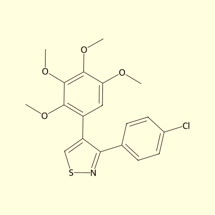 COc1cc(-c2csnc2-c2ccc(Cl)cc2)c(OC)c(OC)c1OC